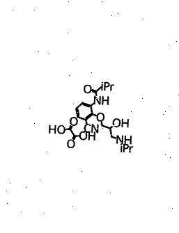 CC(C)NCC(O)COc1c(C#N)cccc1NC(=O)C(C)C.O=C(O)C(=O)O